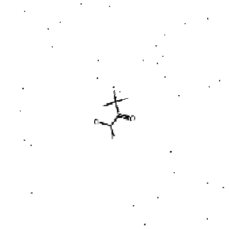 CC(C)(C)C(=O)C(F)Cl